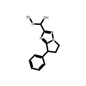 CCOC(O)c1nc2n(n1)CCC2c1ccccc1